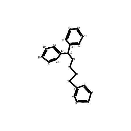 [CH](CCc1ccccc1)CC(c1ccccc1)c1ccccc1